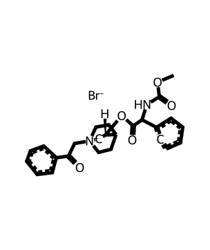 COC(=O)NC(C(=O)O[C@H]1C[N+]2(CC(=O)c3ccccc3)CCC1CC2)c1ccccc1.[Br-]